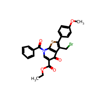 CCOC(=O)c1cn(C(=O)c2ccccc2)c2sc(-c3ccc(OC)cc3)c(CBr)c2c1=O